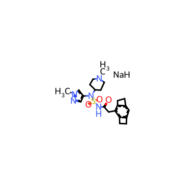 CN1CCC(N(c2cnn(C)c2)S(=O)(=O)NC(=O)Cc2c3c(cc4c2CC4)CC3)CC1.[NaH]